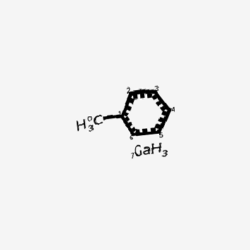 Cc1ccccc1.[GaH3]